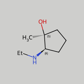 CCN[C@@H]1CCC[C@]1(C)O